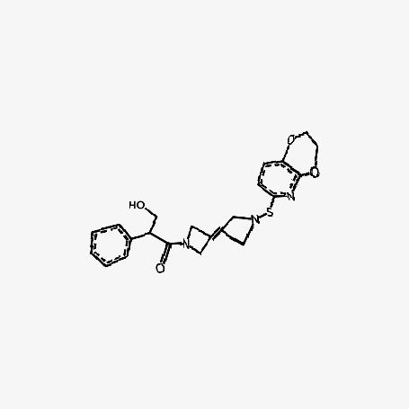 O=C(C(CO)c1ccccc1)N1CC(=C2CN(Sc3ccc4c(n3)OCCO4)C2)C1